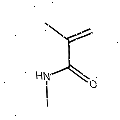 C=C(C)C(=O)NI